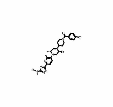 CCNc1nnc(-c2ccc(N3C[C@H](CC)N(C4CCN(C(=O)c5ccc(Cl)cc5)CC4)C[C@H]3C)c(C)n2)o1